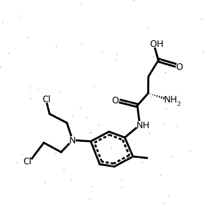 Cc1ccc(N(CCCl)CCCl)cc1NC(=O)[C@@H](N)CC(=O)O